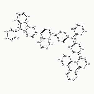 c1ccc(-c2ccccc2-c2cccc(-c3ccc(N(c4ccccc4)c4ccc(-c5ccc(-c6ccc7c(c6)c6ccccc6n7-c6ccccc6)c6ccccc56)cc4)cc3)c2)cc1